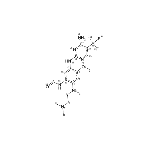 COc1cc(N(C)CCN(C)C)c(NC=O)cc1Nc1ncc(C(F)(F)F)c(N)n1